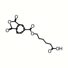 O=C(O)CCCCCOC(=O)c1ccc2c(c1)C(=O)OC2=O